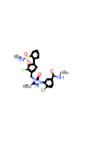 CCCCNC(=O)c1ccc(Cl)c(-n2nc(CCCC)n(Cc3ccc(-c4ccccc4S(=O)(=O)NC(C)(C)C)cc3F)c2=O)c1